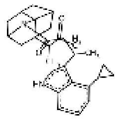 CC(=O)C(C)C12CC3CC(C1)N(C(=O)CC(C)c1c[nH]c4cccc(C5CC5)c14)C(C3)C2